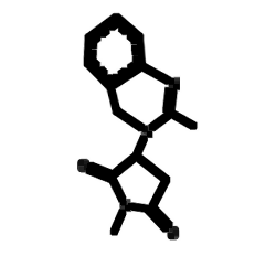 CC1=Nc2ccccc2CN1C1CC(=O)N(C)C1=O